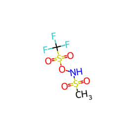 CS(=O)(=O)NOS(=O)(=O)C(F)(F)F